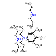 COCCNCCOC.COCCNCCOC.COCCNCCOC.O=C(O)c1cccc(C(=O)O)c1C(=O)O